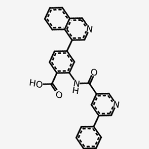 O=C(Nc1cc(-c2cncc3ccccc23)ccc1C(=O)O)c1cncc(-c2ccccc2)c1